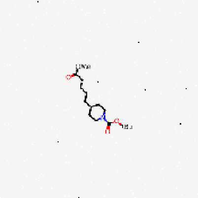 COC(=O)CCCCC1CCN(C(=O)OC(C)(C)C)CC1